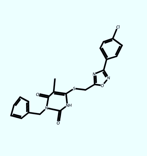 Cc1c(SCc2nc(-c3ccc(Cl)cc3)no2)[nH]c(=O)n(Cc2ccccc2)c1=O